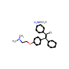 CC/C(=C(\c1ccccc1)c1ccc(OCCN(C)C)cc1)c1ccccc1.NS(=O)(=O)O